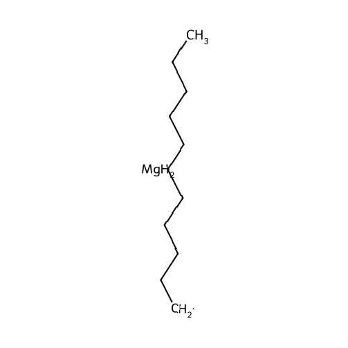 [CH2]CCCCCCCCCC.[MgH2]